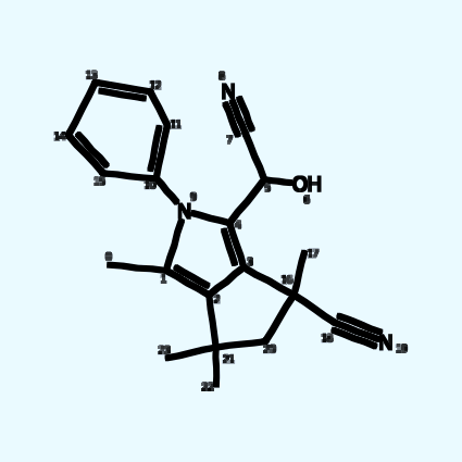 Cc1c2c(c(C(O)C#N)n1-c1ccccc1)C(C)(C#N)CC2(C)C